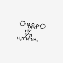 Nc1nc(N)nc(NCP(=O)(OOc2ccccc2)OOc2ccccc2)n1